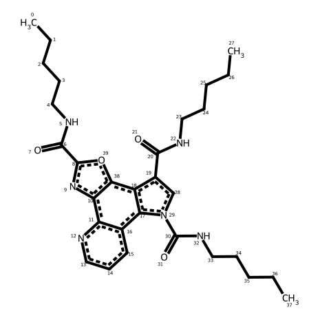 CCCCCNC(=O)c1nc2c3ncccc3c3c(c(C(=O)NCCCCC)cn3C(=O)NCCCCC)c2o1